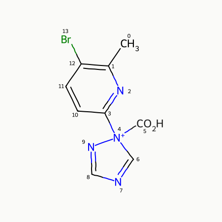 Cc1nc([N+]2(C(=O)O)C=NC=N2)ccc1Br